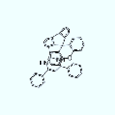 C1=C(c2ccccc2)NC(c2cccc3c2C2(c4ccccc4Oc4ccccc42)c2ccccc2-3)NC1c1ccccc1